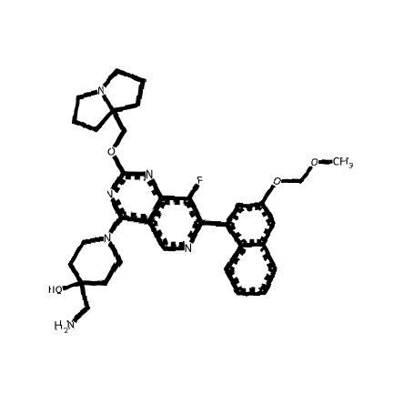 COCOc1cc(-c2ncc3c(N4CCC(O)(CN)CC4)nc(OCC45CCCN4CCC5)nc3c2F)c2ccccc2c1